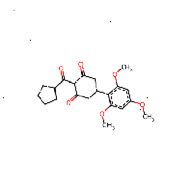 COc1cc(OC)c(C2CC(=O)C(C(=O)C3CCCC3)C(=O)C2)c(OC)c1